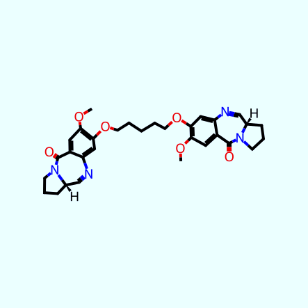 COc1cc2c(cc1OCCCCCOc1cc3c(cc1OC)C(=O)N1CCC[C@H]1C=N3)N=C[C@@H]1CCCN1C2=O